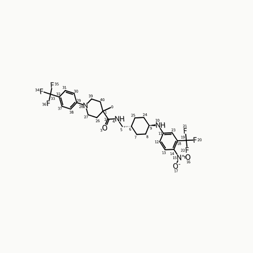 CC1(C(=O)NC[C@H]2CC[C@H](Nc3ccc([N+](=O)[O-])c(C(F)(F)F)c3)CC2)CCN(c2ccc(C(F)(F)F)cc2)CC1